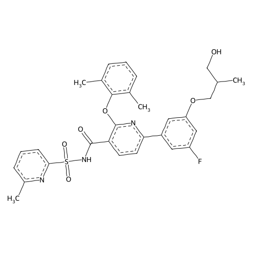 Cc1cccc(S(=O)(=O)NC(=O)c2ccc(-c3cc(F)cc(OCC(C)CO)c3)nc2Oc2c(C)cccc2C)n1